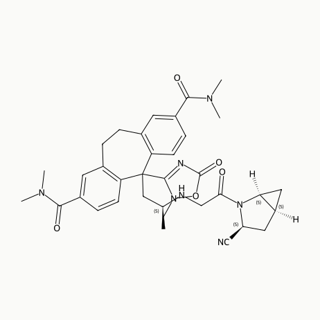 C[C@@H](CC1(c2nc(=O)on2C)c2ccc(C(=O)N(C)C)cc2CCc2cc(C(=O)N(C)C)ccc21)NCC(=O)N1[C@H](C#N)C[C@@H]2C[C@@H]21